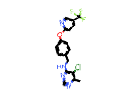 Cc1ncnc(NCc2ccc(Oc3ccc(C(F)(F)F)cn3)cc2)c1Cl